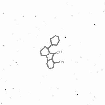 OC1CCCC2C3CCCC(C4CCCCC4)C3C(O)C12